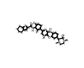 CN1CCN(C)C(c2ccc(Nc3nc(-c4ccc(F)c(NC(=O)c5cc6c(s5)CCCC6)c4F)cn(C)c3=O)cc2)C1=O